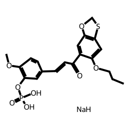 CCCOc1cc2c(cc1C(=O)/C=C/c1ccc(OC)c(OP(=O)(O)O)c1)OCS2.[NaH]